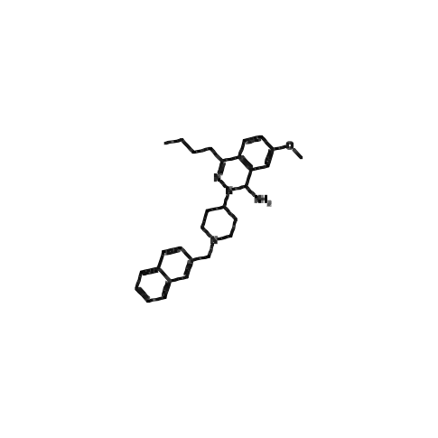 CCCCC1=NN(C2CCN(Cc3ccc4ccccc4c3)CC2)C(N)c2cc(OC)ccc21